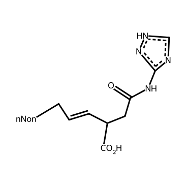 CCCCCCCCCCC=CC(CC(=O)Nc1nc[nH]n1)C(=O)O